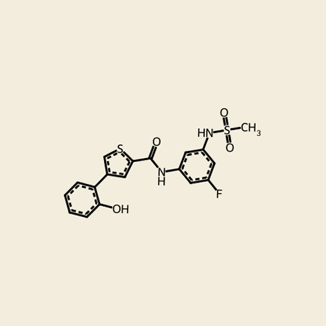 CS(=O)(=O)Nc1cc(F)cc(NC(=O)c2cc(-c3ccccc3O)cs2)c1